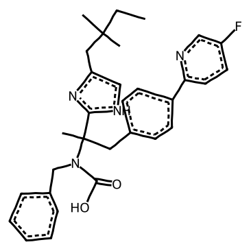 CCC(C)(C)Cc1c[nH]c(C(C)(Cc2ccc(-c3ccc(F)cn3)cc2)N(Cc2ccccc2)C(=O)O)n1